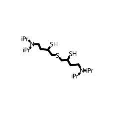 CC(C)N(CCC(S)CSCC(S)CCN(C(C)C)C(C)C)C(C)C